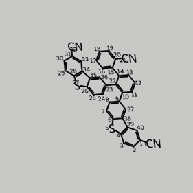 N#Cc1ccc2sc3ccc(-c4cccc(-c5ccccc5C#N)c4-c4ccc5sc6ccc(C#N)cc6c5c4)cc3c2c1